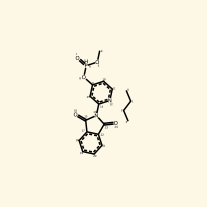 CCCC.CO[PH](=O)Oc1ccnc(N2C(=O)c3ccccc3C2=O)c1